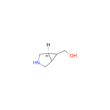 OCC1C2CNC[C@@H]12